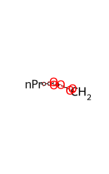 C=CC(=O)OCCCCCCOc1ccc(OC(=O)C2CCC(C3CCC(CCC)CC3)CC2)cc1